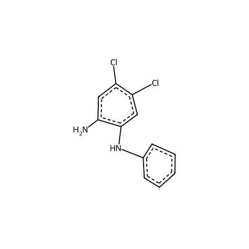 Nc1cc(Cl)c(Cl)cc1Nc1c[c]ccc1